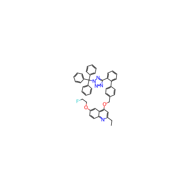 CCc1cc(OCc2ccc(-c3ccccc3-c3nnn(C(c4ccccc4)(c4ccccc4)c4ccccc4)n3)cc2)c2cc(OCCF)ccc2n1